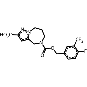 O=C(O)c1cc2n(n1)CCCN(C(=O)OCc1ccc(F)c(C(F)(F)F)c1)C2